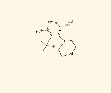 Cl.Cl.Nc1cccc(C2CCNCC2)c1C(F)(F)F